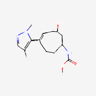 Cn1ncc([N+](=O)[O-])c1C1=CC(O)CC(NC(=O)OC(C)(C)C)CC1